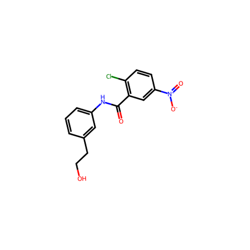 O=C(Nc1cccc(CCO)c1)c1cc([N+](=O)[O-])ccc1Cl